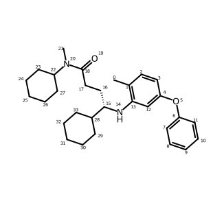 Cc1ccc(Oc2ccccc2)cc1N[C@@H](CCC(=O)N(C)C1CCCCC1)C1CCCCC1